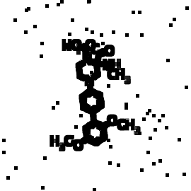 CNC1(C(C)=O)CN(c2ccc(-c3cc(OC)ccc3OC)cc2)CCN1C(=O)O